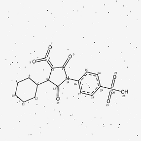 O=C1C(=S(=O)=O)C(C2CCCCC2)C(=O)N1c1ccc(S(=O)(=O)O)cc1